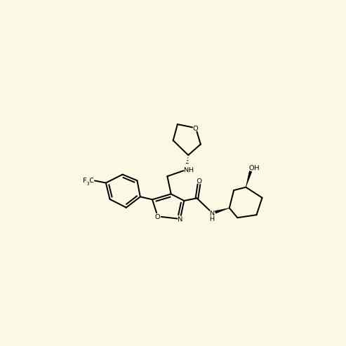 O=C(N[C@@H]1CCC[C@H](O)C1)c1noc(-c2ccc(C(F)(F)F)cc2)c1CN[C@@H]1CCOC1